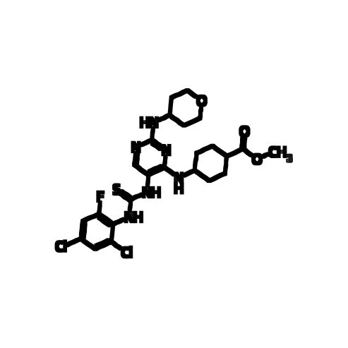 COC(=O)C1CCC(Nc2nc(NC3CCOCC3)ncc2NC(=S)Nc2c(F)cc(Cl)cc2Cl)CC1